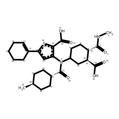 CNC(=O)[C@H]1CCC(N(c2cc(C3=CCCCC3)sc2C(=O)O)C(=O)[C@H]2CC[C@H](C)CC2)C[C@@H]1C(=O)O